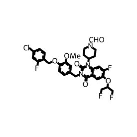 COc1cc(Cn2c(=O)c3cc(OC(CF)CF)c(F)cc3n(C3CCN(C=O)CC3)c2=O)ccc1OCc1ccc(Cl)cc1F